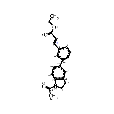 CCOC(=O)/C=C/c1cccc(-c2ccc3c(c2)CCN3C(C)=O)c1